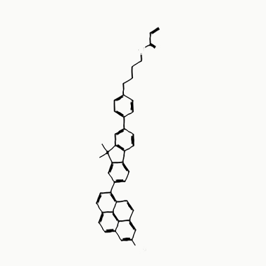 C=CC(=O)OCCCCc1ccc(-c2ccc3c(c2)C(C)(C)c2cc(-c4ccc5ccc6cc(C(C)(C)C)cc7ccc4c5c67)ccc2-3)cc1